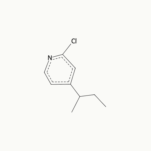 CCC(C)c1ccnc(Cl)c1